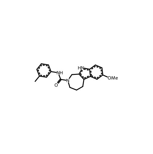 COc1ccc2[nH]c3c(c2c1)CCCN(C(=O)Nc1cccc(C)c1)C3